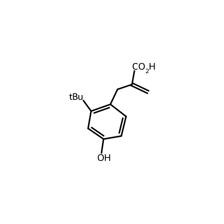 C=C(Cc1ccc(O)cc1C(C)(C)C)C(=O)O